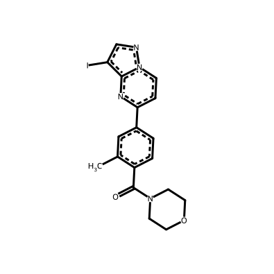 Cc1cc(-c2ccn3ncc(I)c3n2)ccc1C(=O)N1CCOCC1